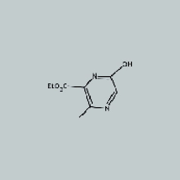 CCOC(=O)c1nc(O)cnc1C